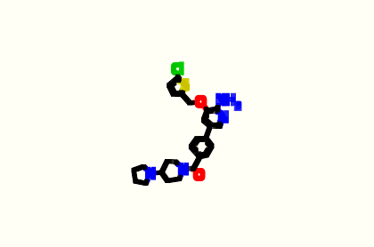 Nc1ncc(-c2ccc(C(=O)N3CCC(N4CCCC4)CC3)cc2)cc1OCc1ccc(Cl)s1